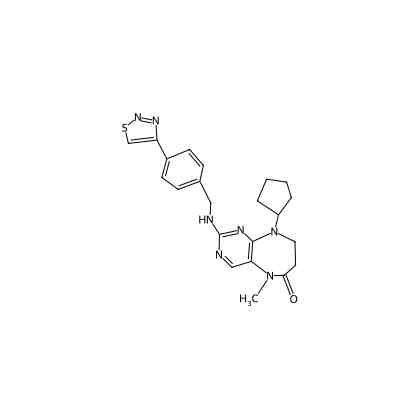 CN1C(=O)CCN(C2CCCC2)c2nc(NCc3ccc(-c4csnn4)cc3)ncc21